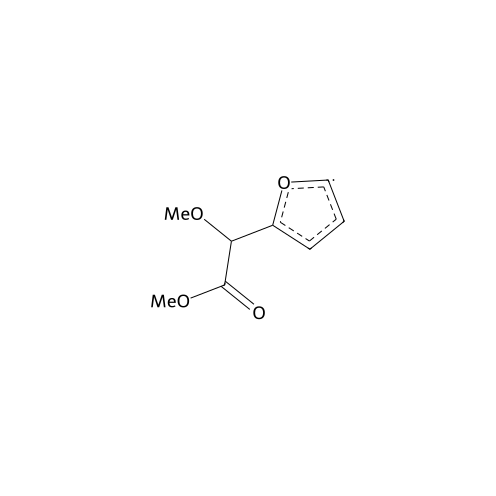 COC(=O)C(OC)c1cc[c]o1